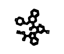 COC(=O)c1cn(-c2cc(Cl)cnc2C(=O)N2Cc3ccccc3CC2CN2CCOCC2)c2ccccc12